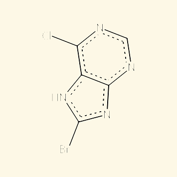 Clc1ncnc2nc(Br)[nH]c12